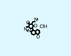 CN(C)CCC1C(=O)c2cncn3c4c(c(c23)C1=O)C1=C(CC4)C(=O)C=CC1.Cl